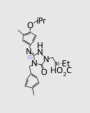 CC[C@@H](Cn1[nH]/c(=N\c2ccc(OC(C)C)c(C)c2)n(Cc2ccc(C)cc2)c1=O)C(=O)O